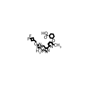 Cc1nc(-c2nnn(C)c2Cn2nnc(OCC3CC(F)(F)C3)n2)ccc1O[C@H]1CCC[C@@H](C(=O)O)C1